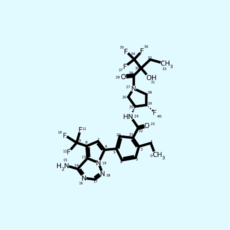 CCc1ccc(-c2cc(C(F)(F)F)c3c(N)ncnn23)cc1C(=O)N[C@@H]1CN(C(=O)C(O)(CC)C(F)(F)F)C[C@@H]1F